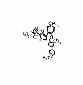 Cc1ccc(OCc2ccc(C3CCN(CC(F)(F)F)CC3)cc2C)c(-c2cccc(-n3ncc(C(=O)O)c3C(F)(F)F)n2)c1